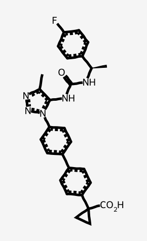 Cc1nnn(-c2ccc(-c3ccc(C4(C(=O)O)CC4)cc3)cc2)c1NC(=O)N[C@H](C)c1ccc(F)cc1